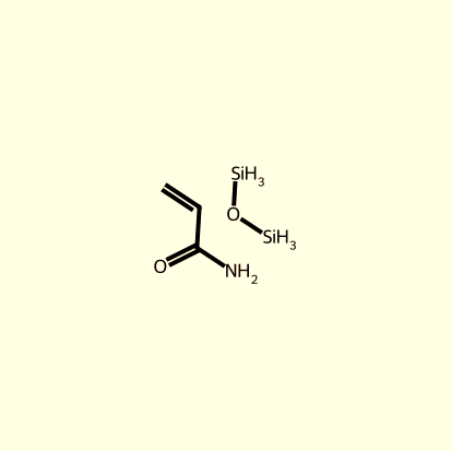 C=CC(N)=O.[SiH3]O[SiH3]